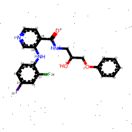 O=C(NCC(O)COc1ccccc1)c1ccncc1Nc1ccc(I)cc1F